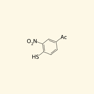 CC(=O)c1ccc(S)c([N+](=O)[O-])c1